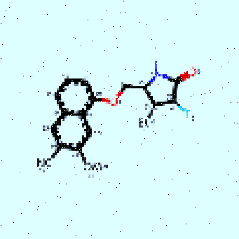 CC[C@@H]1[C@H](F)C(=O)N[C@@H]1COc1cccc2cc(C#N)c(OC)cc12